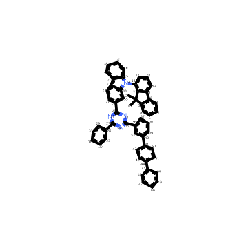 CC1(C)c2ccccc2-c2cccc(-n3c4ccccc4c4ccc(-c5nc(-c6ccccc6)nc(-c6cccc(-c7ccc(-c8ccccc8)cc7)c6)n5)cc43)c21